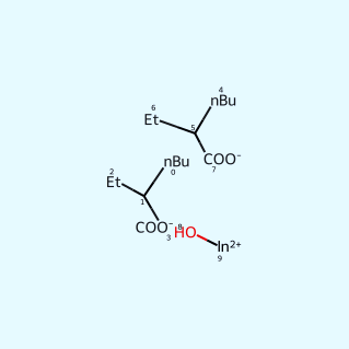 CCCCC(CC)C(=O)[O-].CCCCC(CC)C(=O)[O-].[OH][In+2]